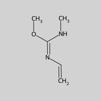 C=C/N=C(\NC)OC